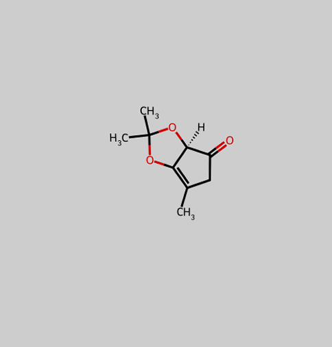 CC1=C2OC(C)(C)O[C@H]2C(=O)C1